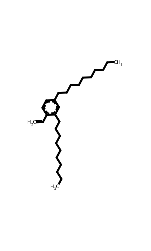 C=Cc1ccc(CCCCCCCCCC)cc1CCCCCCCCCC